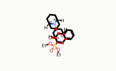 CCOP(=O)(OCC)c1nc2ccccc2n([C@H]2C[C@H]3CCC[C@@H](C2)N3[C@H]2C[C@@H]3CCC[C@@H](C3)C2)c1=O